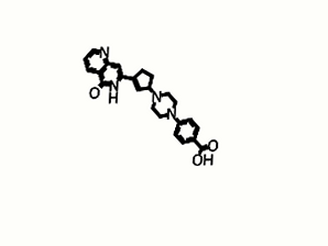 O=C(O)c1ccc(N2CCN(C3C=C(c4cc5ncccc5c(=O)[nH]4)CC3)CC2)cc1